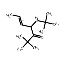 C/C=C/C(NC(C)(C)C)C(=O)C(C)(C)C